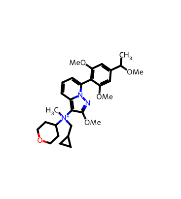 COc1cc(C(C)OC)cc(OC)c1-c1cccc2c([N+](C)(CC3CC3)C3CCOCC3)c(OC)nn12